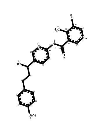 COc1ccc(CCC(O)c2ccc(NC(=O)c3cncc(F)c3C)nc2)cc1